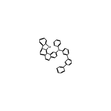 c1ccc(-c2cccc(-c3cccc(N(c4ccccc4)c4ccc5ccc6ccc7c8ccccc8[se]c7c6c5c4)c3)c2)cc1